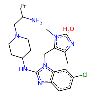 Cc1ncn(C)c1Cn1c(NC2CCN(CC(N)C(C)C)CC2)nc2ccc(Cl)cc21.O